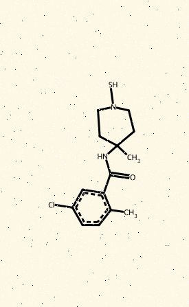 Cc1ccc(Cl)cc1C(=O)NC1(C)CCN(S)CC1